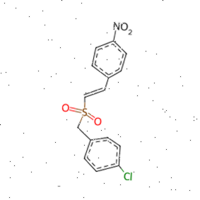 O=[N+]([O-])c1ccc(C=CS(=O)(=O)Cc2ccc(Cl)cc2)cc1